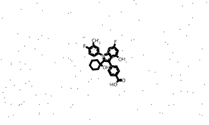 Cc1cc(-n2c(C3(O)CCCCC3)c(-c3ccc(C(=O)O)cc3)c3c(O)cc(F)cc32)ccc1F